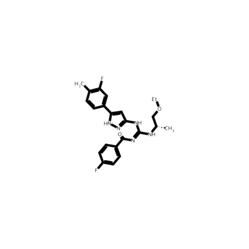 CCOC[C@H](C)N/C(=N/C(=O)c1ccc(F)cc1)Nc1cc(-c2ccc(C)c(F)c2)[nH]n1